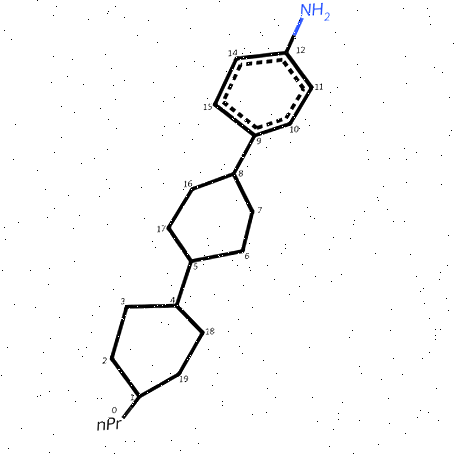 CCCC1CCC(C2CCC(c3ccc(N)cc3)CC2)CC1